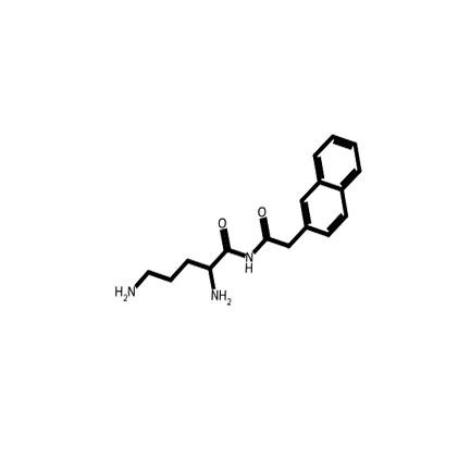 NCCCC(N)C(=O)NC(=O)Cc1ccc2ccccc2c1